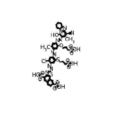 Cc1cc(N=Nc2c(C)c(C#N)c3nc4ccccc4n3c2O)c(OCCCS(=O)(=O)O)cc1N=Nc1cc(Cl)c(N=Nc2nc3c(S(=O)(=O)O)cc4ccc(S(=O)(=O)O)cc4c3s2)cc1SCCCS(=O)(=O)O